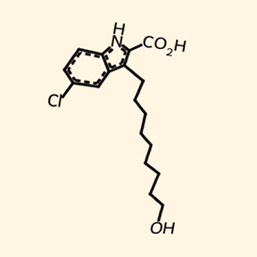 O=C(O)c1[nH]c2ccc(Cl)cc2c1CCCCCCCCCO